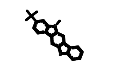 Cn1c2cc(C(C)(C)C)ccc2c2cc3sc4ccccc4c3cc21